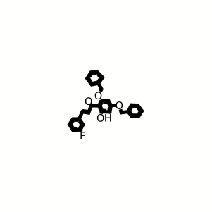 O=C(/C=C/c1cccc(F)c1)c1c(O)cc(OCc2ccccc2)cc1OCc1ccccc1